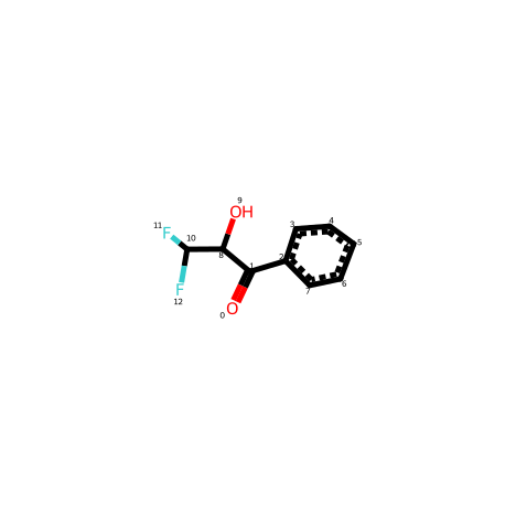 O=C(c1ccccc1)C(O)C(F)F